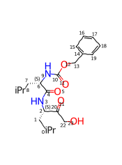 CC(C)C[C@H](NC(=O)[C@H](CC(C)C)NC(=O)OCc1ccccc1)C(=O)CO